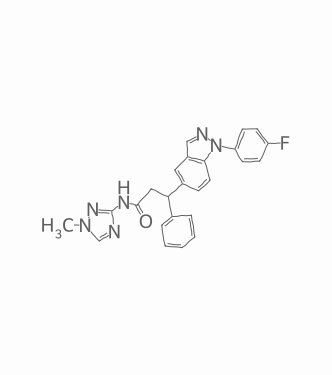 Cn1cnc(NC(=O)CC(c2ccccc2)c2ccc3c(cnn3-c3ccc(F)cc3)c2)n1